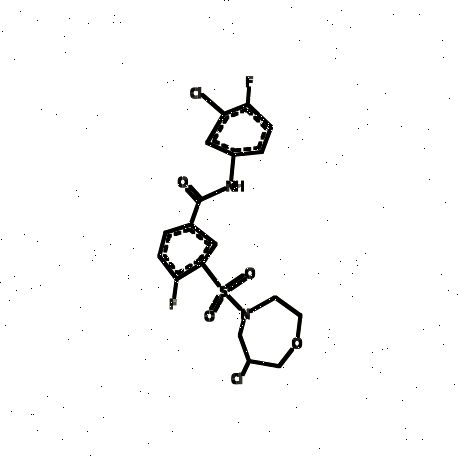 O=C(Nc1ccc(F)c(Cl)c1)c1ccc(F)c(S(=O)(=O)N2CCOCC(Cl)C2)c1